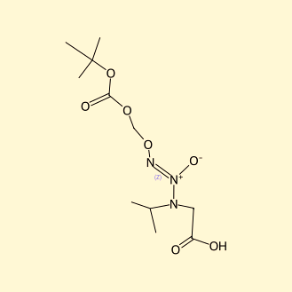 CC(C)N(CC(=O)O)/[N+]([O-])=N/OCOC(=O)OC(C)(C)C